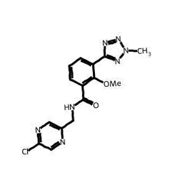 COc1c(C(=O)NCc2cnc(Cl)cn2)cccc1-c1nnn(C)n1